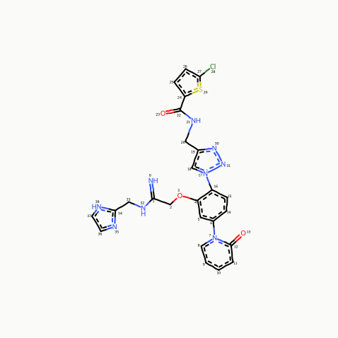 N=C(COc1cc(-n2ccccc2=O)ccc1-n1cc(CNC(=O)c2ccc(Cl)s2)nn1)NCc1ncc[nH]1